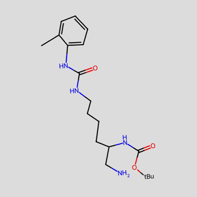 Cc1ccccc1NC(=O)NCCCCC(CN)NC(=O)OC(C)(C)C